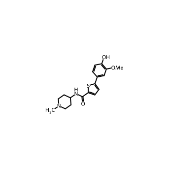 COc1cc(-c2ccc(C(=O)NC3CCN(C)CC3)s2)ccc1O